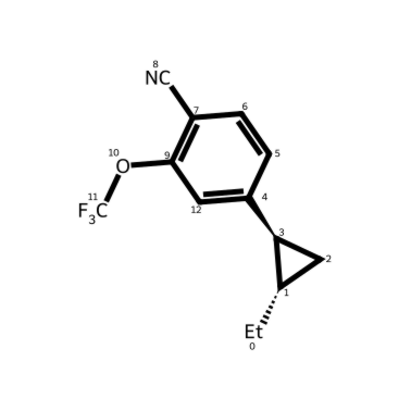 CC[C@H]1C[C@@H]1c1ccc(C#N)c(OC(F)(F)F)c1